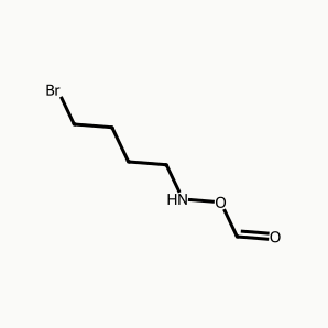 O=CONCCCCBr